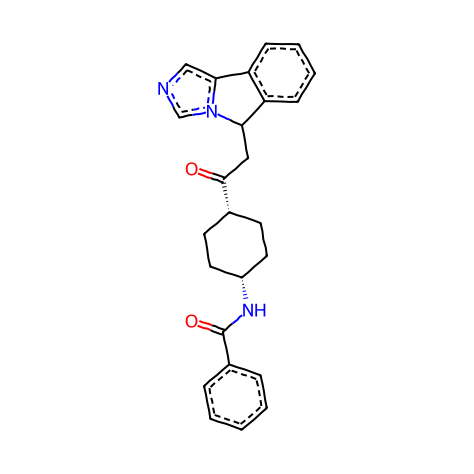 O=C(N[C@H]1CC[C@@H](C(=O)CC2c3ccccc3-c3cncn32)CC1)c1ccccc1